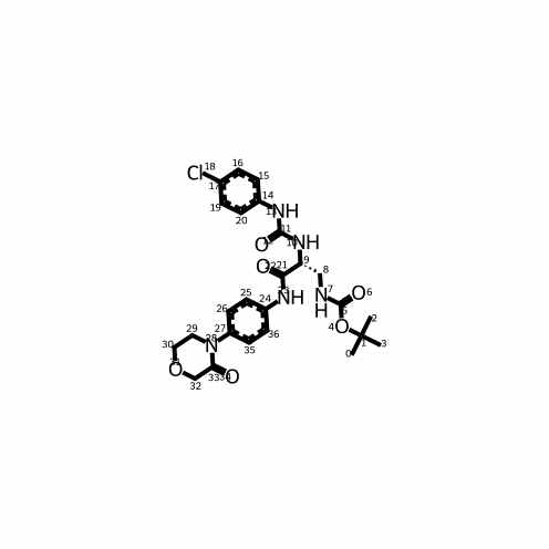 CC(C)(C)OC(=O)NC[C@@H](NC(=O)Nc1ccc(Cl)cc1)C(=O)Nc1ccc(N2CCOCC2=O)cc1